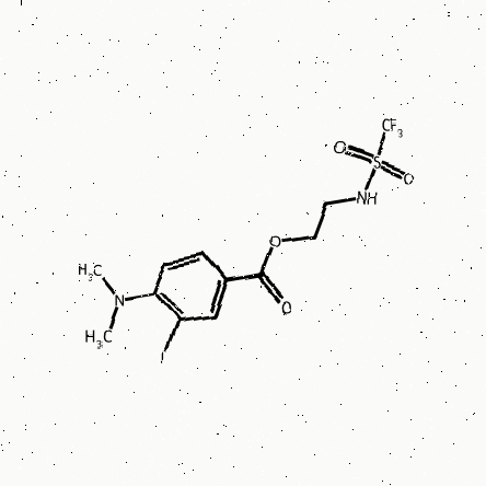 CN(C)c1ccc(C(=O)OCCNS(=O)(=O)C(F)(F)F)cc1I